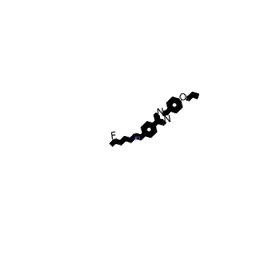 C=CCOc1ccc(-c2ncc(-c3ccc(/C=C/CCCC(C)F)cc3)cn2)cc1